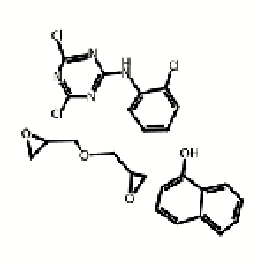 C(OCC1CO1)C1CO1.Clc1nc(Cl)nc(Nc2ccccc2Cl)n1.Oc1cccc2ccccc12